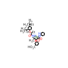 CCC(Oc1ccc(C(C)(C)CC)cc1C(C)(C)CC)C(=O)NCC(C)(C)C(=O)C(Cl)(Oc1ccc(C(=O)O)cc1)C(=O)Nc1ccccc1